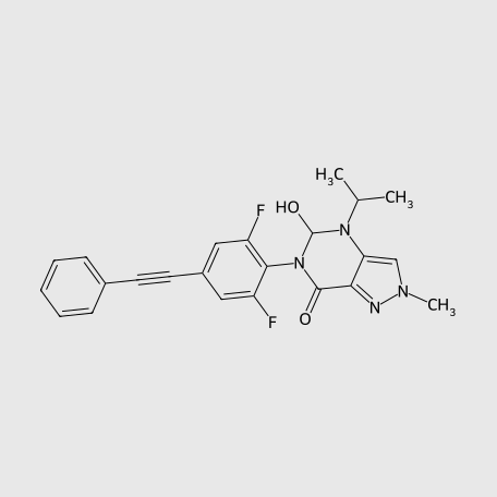 CC(C)N1c2cn(C)nc2C(=O)N(c2c(F)cc(C#Cc3ccccc3)cc2F)C1O